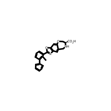 Cc1c(-c2ccccc2)cccc1-c1nc2cc3c(cc2o1)OC[C@@H](C(=O)O)NC3